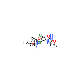 Cc1nn(-c2cc(Cl)c(Oc3cc([C@H](C)C(C)C)c(=O)[nH]n3)c(Cl)c2)c(=O)[nH]c1=O